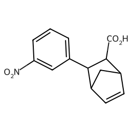 O=C(O)C1C2C=CC(C2)C1c1cccc([N+](=O)[O-])c1